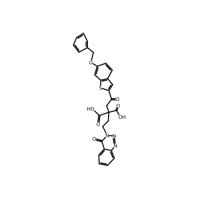 O=C(CC(CCn1nnc2ccccc2c1=O)(C(=O)O)C(=O)O)c1cc2ccc(OCc3ccccc3)cc2s1